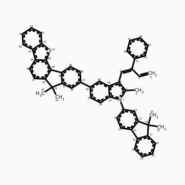 C=C/C(=C\c1c(C)n(-c2ccc3c(c2)C(C)(C)c2ccccc2-3)c2ccc(-c3ccc4c(c3)C(C)(C)c3ccc5c(sc6ccccc65)c3-4)cc12)c1ccccc1